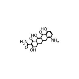 NC(=O)C1=C(O)CC2CC3Cc4c(N)ccc(O)c4C(=O)C3=C(O)C2C1=O